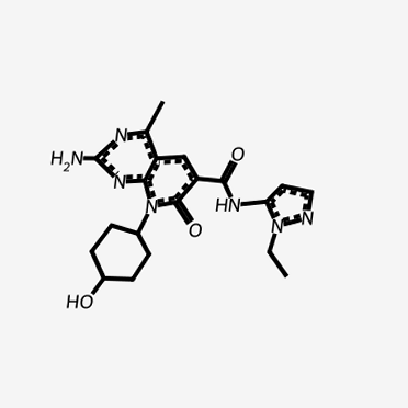 CCn1nccc1NC(=O)c1cc2c(C)nc(N)nc2n(C2CCC(O)CC2)c1=O